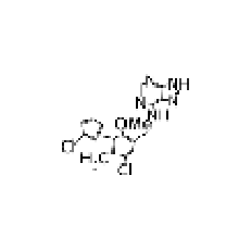 COc1c(CCNc2ncnc3[nH]cnc23)cc(Cl)c(C)c1-c1cccc(Cl)c1